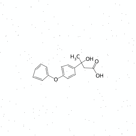 CC(O)(CC(=O)O)c1ccc(Oc2ccccc2)cc1